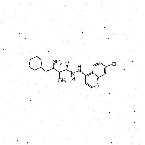 N[C@H](CC1CCCCC1)C(O)C(=O)NNc1ccnc2cc(Cl)ccc12